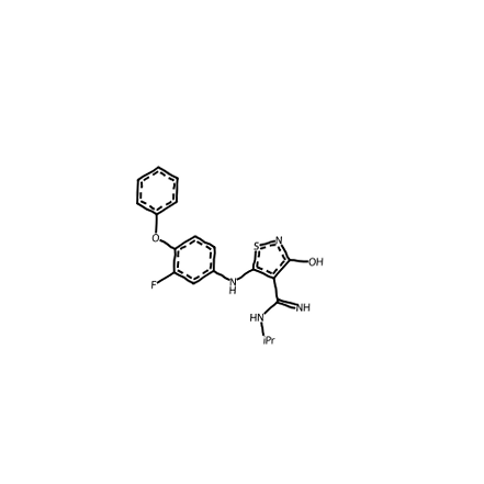 CC(C)NC(=N)c1c(O)nsc1Nc1ccc(Oc2ccccc2)c(F)c1